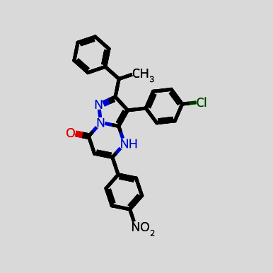 CC(c1ccccc1)c1nn2c(=O)cc(-c3ccc([N+](=O)[O-])cc3)[nH]c2c1-c1ccc(Cl)cc1